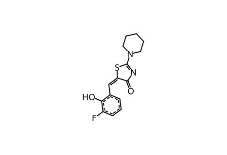 O=C1N=C(N2CCCCC2)S/C1=C/c1cccc(F)c1O